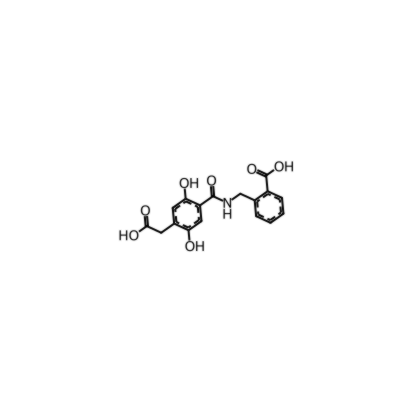 O=C(O)Cc1cc(O)c(C(=O)NCc2ccccc2C(=O)O)cc1O